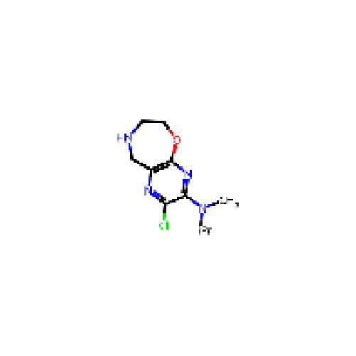 CC(C)N(C)c1nc2c(nc1Cl)CNCCO2